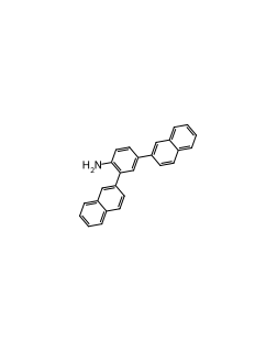 Nc1ccc(-c2ccc3ccccc3c2)cc1-c1ccc2ccccc2c1